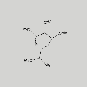 COC(CCC(OC)C(OC)C(OC)C(C)C)C(C)C